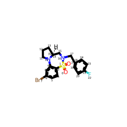 O=S1(=O)c2ccc(Br)cc2N2CCC[C@H]2CN1Cc1ccc(F)cc1